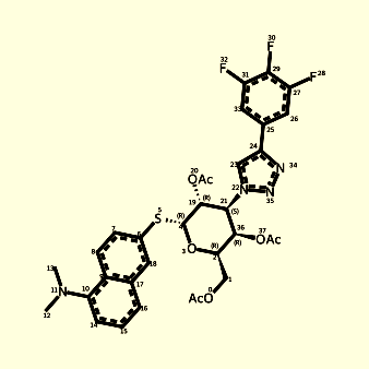 CC(=O)OC[C@H]1O[C@H](Sc2ccc3c(N(C)C)cccc3c2)[C@H](OC(C)=O)[C@@H](n2cc(-c3cc(F)c(F)c(F)c3)nn2)[C@H]1OC(C)=O